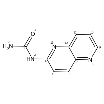 NC(=O)Nc1ccc2ncccc2n1